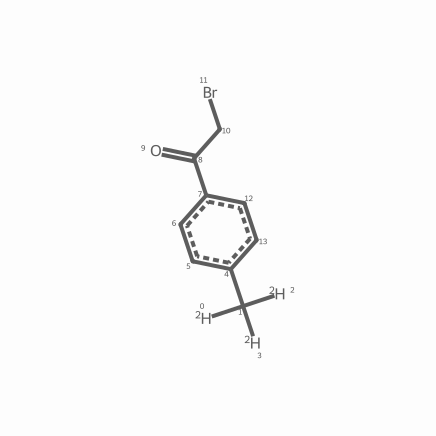 [2H]C([2H])([2H])c1ccc(C(=O)CBr)cc1